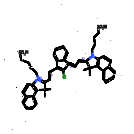 CC1(C)C(/C=C/C2=C(Cl)C(=C/C=C3/N(CCCCS(=O)(=O)O)c4ccc5ccccc5c4C3(C)C)/c3ccccc32)=[N+](CCCCS(=O)(=O)O)c2ccc3ccccc3c21